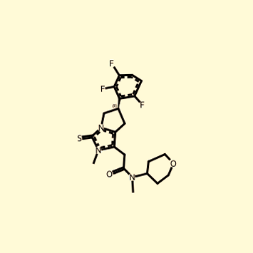 CN(C(=O)Cc1c2n(c(=S)n1C)C[C@@H](c1c(F)ccc(F)c1F)C2)C1CCOCC1